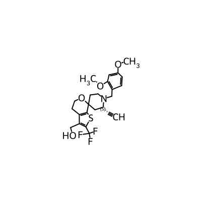 C#C[C@@H]1CC2(CCN1Cc1ccc(OC)cc1OC)OCCc1c2sc(C(F)(F)F)c1CO